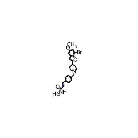 COc1cc(Br)c2oc(C3CCN(Cc4ccc(/C=C/C(=O)NO)cc4)CC3)cc2c1